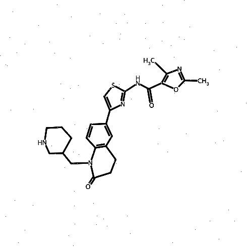 Cc1nc(C)c(C(=O)Nc2nc(-c3ccc4c(c3)CCC(=O)N4CC3CCCNC3)cs2)o1